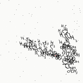 CC(=O)Nc1ccc(S[C@@H]2O[C@H](COS(=O)(=O)O)[C@@H](O[C@H]3O[C@H](COS(=O)(=O)O)[C@@H](OS(=O)(=O)O)[C@H](OS(=O)(=O)O)[C@H]3OS(=O)(=O)O)[C@H](OS(=O)(=O)O)[C@H]2OS(=O)(=O)O)cc1.CCN(CC)CC.CCN(CC)CC.CCN(CC)CC.CCN(CC)CC.CCN(CC)CC.CCN(CC)CC.CCN(CC)CC